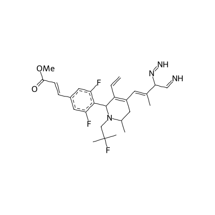 C=CC1=C(/C=C(\C)C(C=N)N=N)CC(C)N(CC(C)(C)F)C1c1c(F)cc(/C=C/C(=O)OC)cc1F